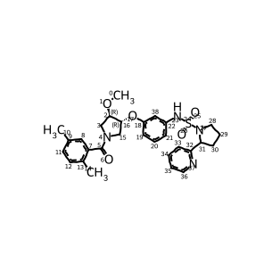 CO[C@@H]1CN(C(=O)c2cc(C)ccc2C)C[C@H]1Oc1cccc(NS(=O)(=O)N2CCCC2c2ccccn2)c1